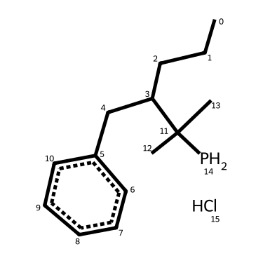 CCCC(Cc1ccccc1)C(C)(C)P.Cl